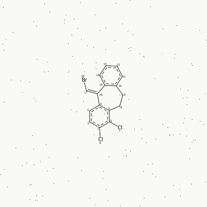 Clc1ccc2c(c1Cl)CCc1ccccc1/C2=C\Br